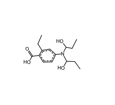 CCc1cc(N(C(O)CC)C(O)CC)ccc1C(=O)O